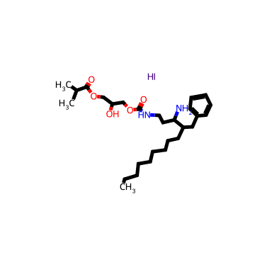 CCCCCCCCCC(Cc1ccccc1)C(N)CCNC(=O)OCC(O)COC(=O)C(C)C.I